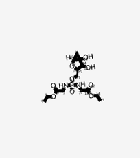 CCOC(=O)CNP(=O)(NCC(=O)OCC)OC[C@H]1O[C@H]2CC2(O)C1O